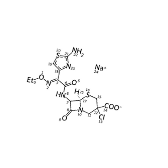 CCON=C(C(=O)NC1C(=O)N2CC(Cl)(C(=O)[O-])CS[C@H]12)c1csc(N)n1.[Na+]